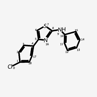 Clc1ccc(-c2csc(Nc3ccccc3)n2)cc1